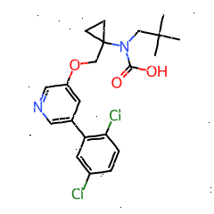 CC(C)(C)CN(C(=O)O)C1(COc2cncc(-c3cc(Cl)ccc3Cl)c2)CC1